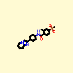 Cc1cc(S(C)(=O)=O)ccc1C(=O)Nc1ccc(-c2cn3ccccc3n2)cc1